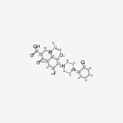 CC1=COc2c(N3CCN(c4ccccc4Cl)CC3)c(F)cc3c(=O)c(C(=O)O)cn1c23